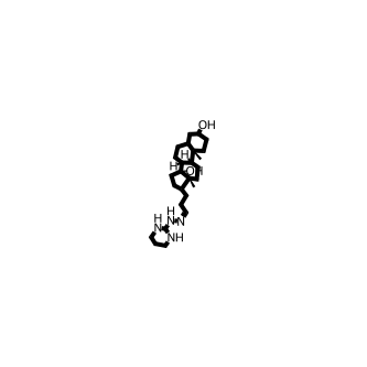 C[C@]12CCC(O)CC1CC[C@@H]1[C@H]2CC[C@]2(C)C(CC/C=N\NC3NCCCN3)CC[C@@]12O